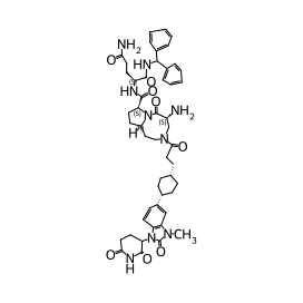 Cn1c(=O)n(C2CCC(=O)NC2=O)c2ccc([C@H]3CC[C@@H](CCC(=O)N4CC[C@H]5CC[C@@H](C(=O)N[C@@H](CCC(N)=O)C(=O)NC(c6ccccc6)c6ccccc6)N5C(=O)[C@@H](N)C4)CC3)cc21